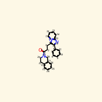 O=C(CCc1c(-c2ccccc2)nc2ccccn12)N1CCc2ccccc2C1